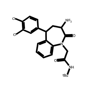 CC(C)(C)NC(=O)CN1C(=O)C(N)CC(c2ccc(Cl)c(Cl)c2)c2ccccc21